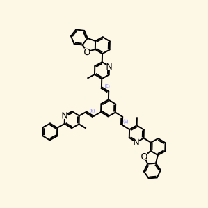 Cc1cc(-c2ccccc2)ncc1/C=C/c1cc(/C=C/c2cnc(-c3cccc4c3oc3ccccc34)cc2C)cc(/C=C/c2cnc(-c3cccc4c3oc3ccccc34)cc2C)c1